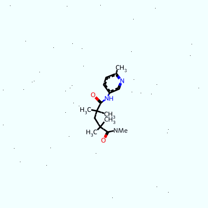 CNC(=O)C(C)(C)CC(C)(C)C(=O)Nc1ccc(C)nc1